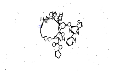 O=C(N[C@H]1CCCCC/C=C\[C@@H]2C[C@@]2(C(=O)O)NC(=O)[C@@H]2C[C@@H](Oc3nc(-c4ccccn4)nc4ccsc34)CN2C1=O)OC1CCCC1